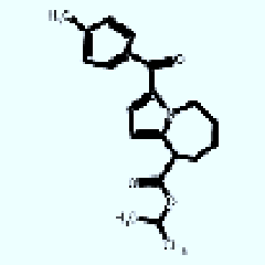 Cc1ccc(C(=O)c2ccc3n2CCCCC3C(=O)OC(C)C)cc1